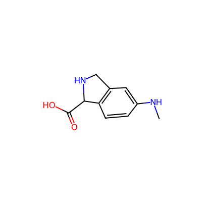 CNc1ccc2c(c1)CNC2C(=O)O